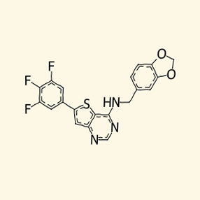 Fc1cc(-c2cc3ncnc(NCc4ccc5c(c4)OCO5)c3s2)cc(F)c1F